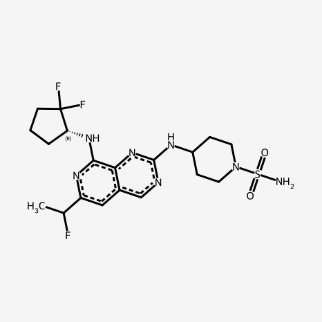 CC(F)c1cc2cnc(NC3CCN(S(N)(=O)=O)CC3)nc2c(N[C@@H]2CCCC2(F)F)n1